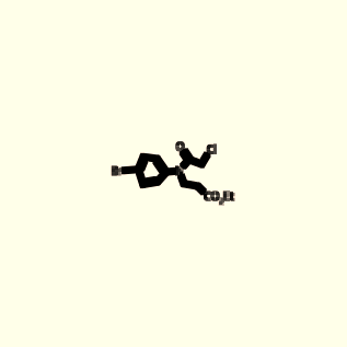 CCOC(=O)CCN(C(=O)CCl)c1ccc(Br)cc1